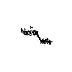 O=C(Cc1cc(OC(F)(F)F)ccc1F)Nc1ccc(CCCCn2cc(C(=O)NC3CCC3)nn2)nn1